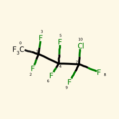 FC(F)(F)C(F)(F)C(F)(F)C(F)(F)Cl